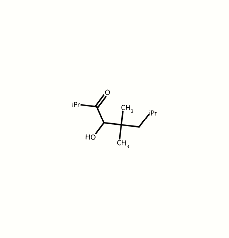 CC(C)[CH]C(C)(C)C(O)C(=O)C(C)C